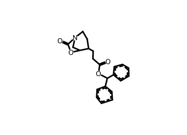 O=C(CCC1CCN2CC1OC2=O)OC(c1ccccc1)c1ccccc1